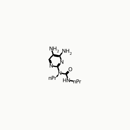 CCCNC(=O)N(CCC)c1ncc(N)c(N)n1